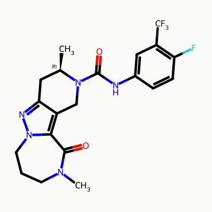 C[C@@H]1Cc2nn3c(c2CN1C(=O)Nc1ccc(F)c(C(F)(F)F)c1)C(=O)N(C)CCC3